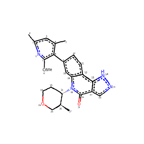 COc1nc(C)cc(C)c1-c1ccc2c3[nH]ncc3c(=O)n([C@H]3CCOC[C@@H]3C)c2c1